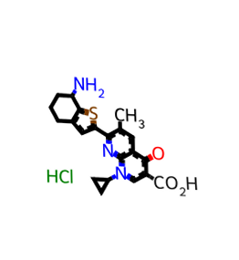 Cc1cc2c(=O)c(C(=O)O)cn(C3CC3)c2nc1-c1cc2c(s1)C(N)CCC2.Cl